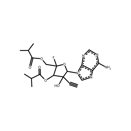 C#CC1(O)C(n2cnc3c(N)ncnc32)OC(F)(COC(=O)C(C)C)C1OC(=O)C(C)C